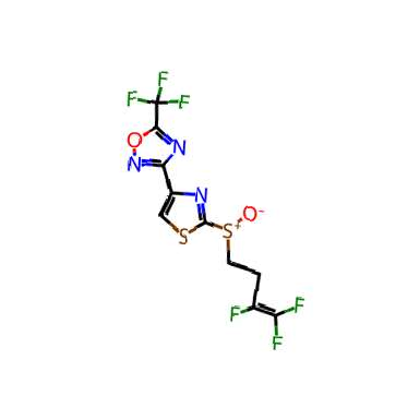 [O-][S+](CCC(F)=C(F)F)c1nc(-c2noc(C(F)(F)F)n2)cs1